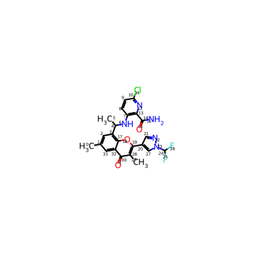 Cc1cc(C(C)Nc2ccc(Cl)nc2C(N)=O)c2oc(-c3cnn(C(F)F)c3)c(C)c(=O)c2c1